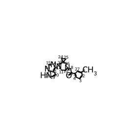 Cc1cccc(C(=O)CN2CCN(c3ncnc4[nH]ccc34)CC3(CC3)C2)c1